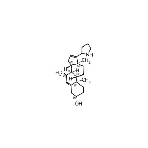 C[C@@H]1C=C2C[C@@H](O)CC[C@]2(C)[C@H]2CC[C@]3(C)C(C4CCCN4)=CC[C@H]3[C@H]12